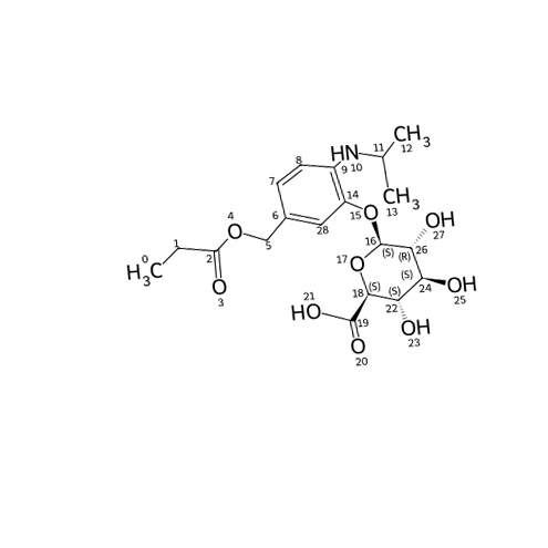 CCC(=O)OCc1ccc(NC(C)C)c(O[C@@H]2O[C@H](C(=O)O)[C@@H](O)[C@H](O)[C@H]2O)c1